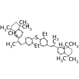 CCc1cc(C=C(C)c2ccc3c(c2)C(C)(C)CCC3(C)C)ccc1Sc1ccc(C=C(C)c2ccc3c(c2)C(C)(C)CCC3(C)C)cc1CC